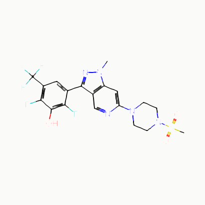 Cn1nc(-c2cc(C(F)(F)F)c(F)c(O)c2F)c2cnc(N3CCN(S(C)(=O)=O)CC3)cc21